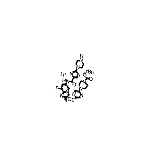 CC(C)(C)OC(=O)N1CCN(c2cnc(C(=O)[O-])cn2)CC1.Cc1cn2cc(NC(=O)c3cnc(N4CCNCC4)cn3)cc(F)c2n1.[Li+]